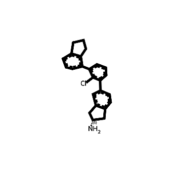 N[C@H]1Cc2ccc(-c3cccc(-c4cccc5c4CCC5)c3Cl)cc2C1